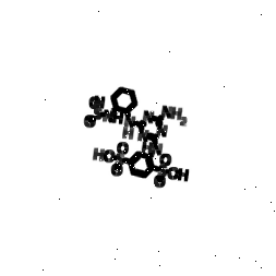 Nc1nc(Nc2cc(S(=O)(=O)O)ccc2S(=O)(=O)O)nc(NC2CCCCC2N[SH](=O)=O)n1